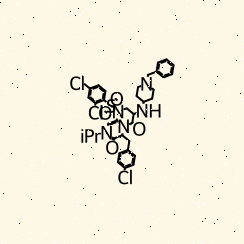 CC(C)N1C=C2N(C(=O)C(NC3CCN(Cc4ccccc4)CC3)CN2S(=O)(=O)c2ccc(Cl)cc2Cl)C(Cc2ccc(Cl)cc2)C1=O